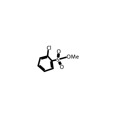 COS(=O)(=O)c1ccccc1Cl